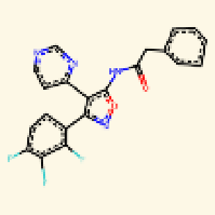 O=C(Cc1ccccc1)Nc1onc(-c2ccc(F)c(F)c2F)c1-c1ccncn1